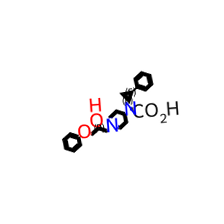 O=C(O)N(C1CCN(C[C@@H](O)COc2ccccc2)CC1)[C@@H]1C[C@H]1c1ccccc1